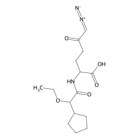 CCOC(C(=O)NC(CCC(=O)C=[N+]=[N-])C(=O)O)C1CCCC1